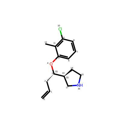 C=CC[C@H](Oc1cccc(Cl)c1C)[C@H]1CCNC1